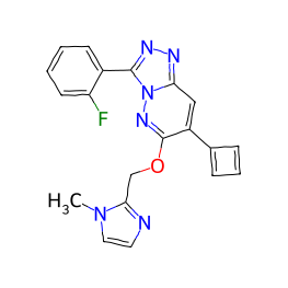 Cn1ccnc1COc1nn2c(-c3ccccc3F)nnc2cc1C1=CC=C1